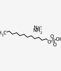 CCCCCCCCCCCCOS(=O)(=O)O.[NH2-].[Na+]